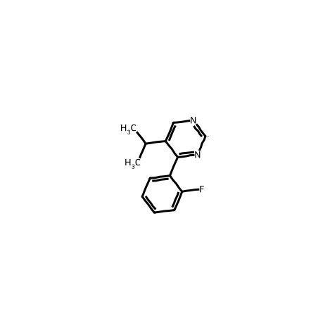 CC(C)c1cn[c]nc1-c1ccccc1F